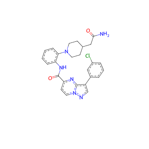 NC(=O)CC1CCN(c2ccccc2NC(=O)c2ccn3ncc(-c4cccc(Cl)c4)c3n2)CC1